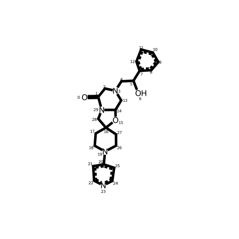 O=C1CN(CC(O)c2ccccc2)CC2OC3(CCN(c4ccncc4)CC3)CN12